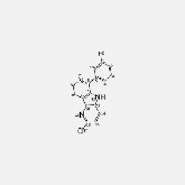 Fc1cccc(C2=NCCc3c2[nH]c2ccc(Cl)nc32)c1